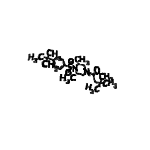 C[C@@H]1CN(C(=O)CC(C)(C)C)C[C@H](C)N1S(=O)(=O)c1ccc(C(C)(C)C)cc1